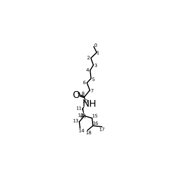 CCCCCCCCC(=O)NC[C@H](CC)CC(C)C